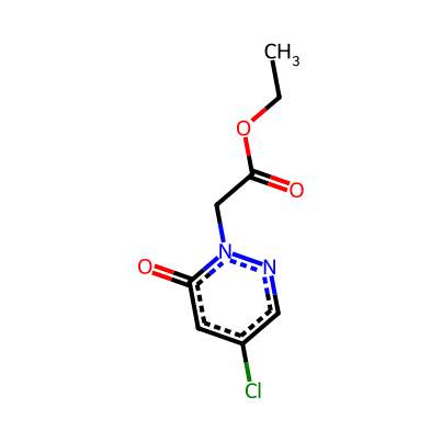 CCOC(=O)Cn1ncc(Cl)cc1=O